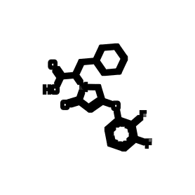 O=C(O)C(CC1CCCCC1)N1CC(Oc2cccc(F)c2F)=CC1=O